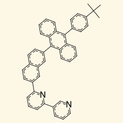 CC(C)(C)c1ccc(-c2c3ccccc3c(-c3ccc4ccc(-c5cccc(-c6cccnc6)n5)cc4c3)c3ccccc23)cc1